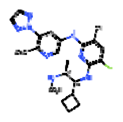 COc1ncc(Nc2nc(N[C@@H](C3CCC3)[C@H](C)NC(=O)O)c(F)cc2C#N)cc1-n1nccn1